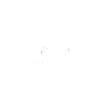 [CH2]CCCCCCCCCCCCCCC.[I][Mg][I]